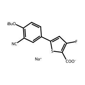 CC(C)COc1ccc(-c2cc(F)c(C(=O)[O-])s2)cc1C#N.[Na+]